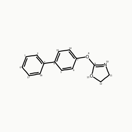 c1ccc(-c2ccc(OC3=NCCO3)cc2)cc1